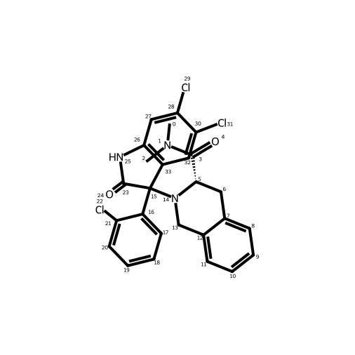 CN(C)C(=O)[C@@H]1Cc2ccccc2CN1C1(c2ccccc2Cl)C(=O)Nc2cc(Cl)c(Cl)cc21